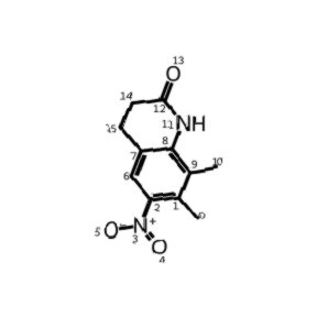 Cc1c([N+](=O)[O-])cc2c(c1C)NC(=O)CC2